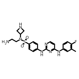 Cc1cc(Nc2ccnc(Nc3ccc(S(=O)(=O)N(CCN)C4CNC4)cc3)n2)ccc1F